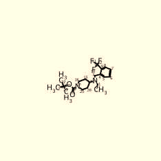 CCN(Cc1ccccc1C(F)(F)F)C1CCN(C(=O)OC(C)(C)C)CC1